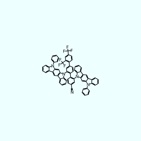 N#Cc1ccc(-c2ccc(-c3ccc(C(F)(F)F)cc3C(F)(F)F)cc2-n2c3ccccc3c3cc4c5ccccc5n(-c5ccccc5)c4cc32)c(-n2c3ccccc3c3cc4c5ccccc5n(-c5ccccc5)c4cc32)c1